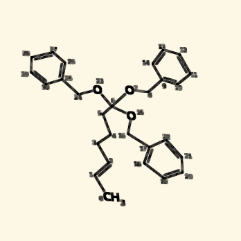 C/C=C/CCCC(OCc1ccccc1)(OCc1ccccc1)OCc1ccccc1